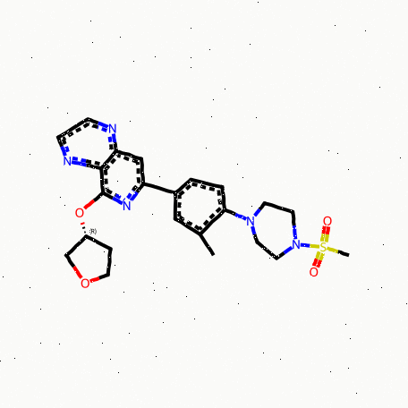 Cc1cc(-c2cc3nccnc3c(O[C@@H]3CCOC3)n2)ccc1N1CCN(S(C)(=O)=O)CC1